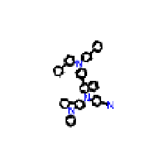 N#Cc1ccc(N(c2ccc3c(c2)C2C=CC=CC2N3c2ccccc2)c2ccc(-c3ccc(N(c4ccc(-c5ccccc5)cc4)c4cccc(-c5ccccc5)c4)cc3)c3ccccc23)cc1